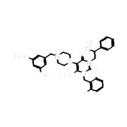 Cc1cc(C)cc(CN2CCN(c3c(C)n(Cc4c(F)cccc4F)c(=O)n(CC(N)c4ccccc4)c3=O)CC2)c1